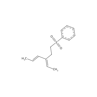 C/C=C/C(=C/C)CCS(=O)(=O)c1ccccc1